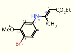 CCOC(=O)/C=C(\C)Nc1ccc(Br)c(OC)c1